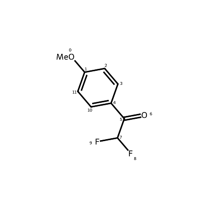 COc1ccc(C(=O)C(F)F)cc1